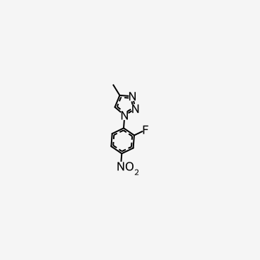 Cc1cn(-c2ccc([N+](=O)[O-])cc2F)nn1